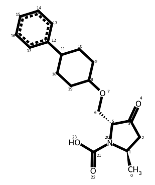 C[C@@H]1CC(=O)[C@@H](COC2CCC(c3ccccc3)CC2)N1C(=O)O